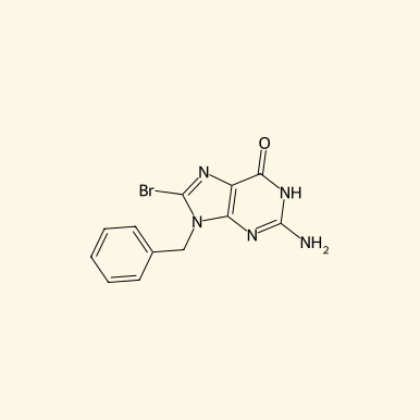 Nc1nc2c(nc(Br)n2Cc2ccccc2)c(=O)[nH]1